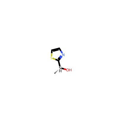 C[Si@@H](O)c1nccs1